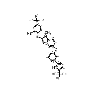 Cn1c(Nc2ccc(C(F)(F)F)cc2S)nc2cc(Oc3ccnc(-c4ncc(C(F)(F)F)[nH]4)c3)ccc21